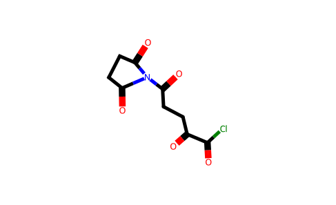 O=C(Cl)C(=O)CCC(=O)N1C(=O)CCC1=O